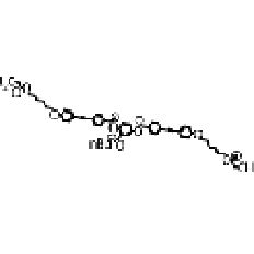 C=CC(=O)OCCCCCCOc1ccc(C#Cc2ccc(C(=O)Oc3ccc(OC(=O)c4ccc(C#Cc5ccc(OCCCCCCOC(=O)C=C)cc5)cc4)c(C(=O)OCCCC)c3)cc2)cc1